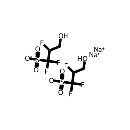 O=S(=O)([O-])C(F)(F)C(F)CO.O=S(=O)([O-])C(F)(F)C(F)CO.[Na+].[Na+]